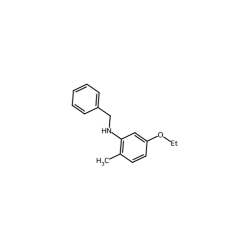 CCOc1ccc(C)c(NCc2ccccc2)c1